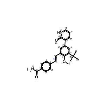 COc1c(/C=C/c2ccc(C(N)=O)cc2)cc(-c2ccc[nH]c2=O)cc1C(C)(C)C